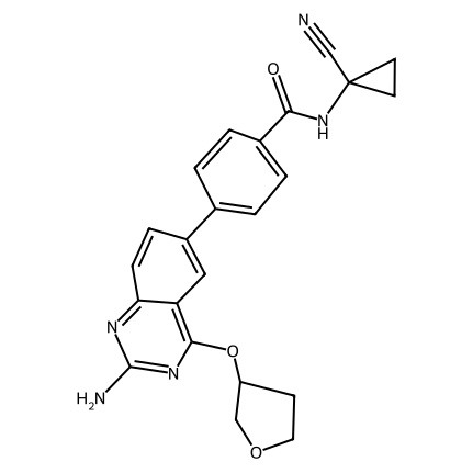 N#CC1(NC(=O)c2ccc(-c3ccc4nc(N)nc(OC5CCOC5)c4c3)cc2)CC1